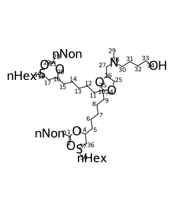 CCCCCCCCCC(=O)OC(CCCCCC1(CCCCCC(CSCCCCCC)OC(=O)CCCCCCCCC)OCC(CN(C)CCCCO)O1)CSCCCCCC